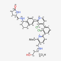 COc1nc(-c2cccc(-c3ccnc(-c4ccc5c(c4)CCC[C@H]5NC[C@H]4CCC(=O)N4)c3Cl)c2Cl)ccc1CN[C@@H](CCO)C(=O)O